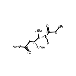 CC[C@H](C)[C@@H]([C@@H](CC(=O)NC)OC)N(C)C(=O)CC(C)C